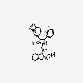 Cc1cccc(-c2nc(CN(C)[C@@H]3c4ccccc4C[C@H]3O)[nH]c2-c2ccc3ncnn3c2)n1